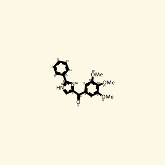 COc1cc(C(=O)c2c[nH]c(-c3ccccc3)n2)cc(OC)c1OC